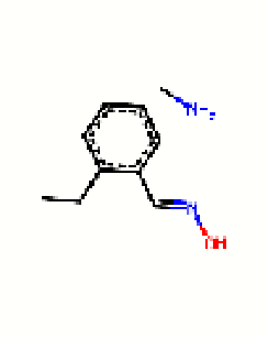 CCc1ccccc1C=NO.CN